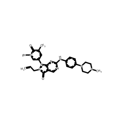 C=CCn1c(=O)c2cnc(Nc3ccc(N4CCN(C)CC4)cc3)nc2n1-c1cc(C(F)(F)F)c(=O)n(C(C)C)c1